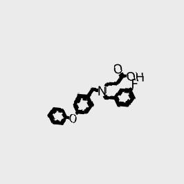 O=C(O)CCN(Cc1ccc(Oc2ccccc2)cc1)Cc1cccc(F)c1